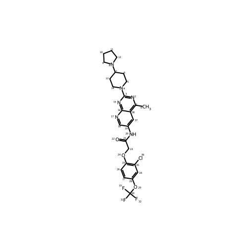 Cc1nc(N2CCC(N3CCCC3)CC2)nc2ncc(NC(=O)COc3ccc(OC(F)(F)F)cc3Cl)cc12